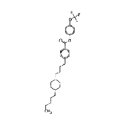 CCCCC[C@H]1CC[C@H](CCCCc2ccc(C(=O)Oc3ccc(OC(F)(F)F)cc3)cc2)CC1